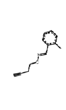 C#CCCON=[C]c1ccccc1C